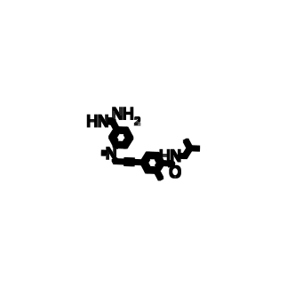 Cc1cc(C#CCN(C)c2cccc(C(=N)N)c2)ccc1C(=O)NCC(C)C